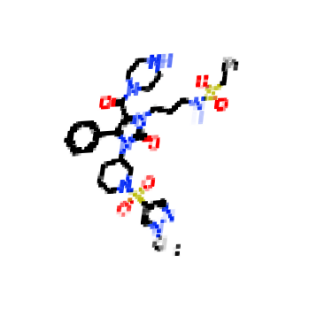 CC(C)CS(=O)(=O)NCCCn1c(C(=O)N2CCNCC2)c(-c2ccccc2)n(C2CCCN(S(=O)(=O)c3cnn(C)c3)C2)c1=O